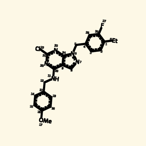 CCc1ccc(Cn2ncc3c(NCc4ccc(OC)cc4)nc(Cl)nc32)cc1F